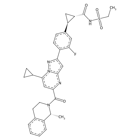 CCS(=O)(=O)NC(=O)[C@H]1C[C@@H]1c1ccc(-c2cc3nc(C(=O)N4CCc5ccccc5[C@H]4C)cc(C4CC4)n3n2)c(F)c1